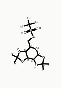 CC1(C)OC2OC(COS(=O)(=O)C(F)(F)F)C3OC(C)(C)OC3C2O1